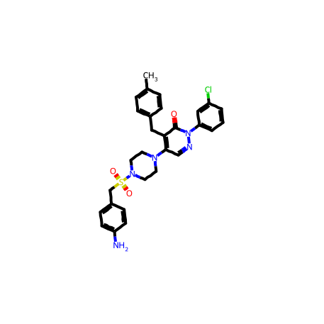 Cc1ccc(Cc2c(N3CCN(S(=O)(=O)Cc4ccc(N)cc4)CC3)cnn(-c3cccc(Cl)c3)c2=O)cc1